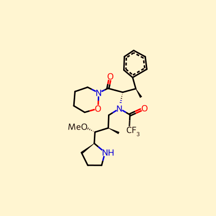 CO[C@H]([C@H](C)CN(C(=O)C(F)(F)F)[C@H](C(=O)N1CCCCO1)[C@H](C)c1ccccc1)[C@@H]1CCCN1